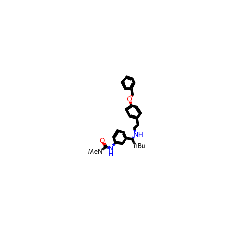 CCCCC(NCCc1ccc(OCc2ccccc2)cc1)c1cccc(NC(=O)NC)c1